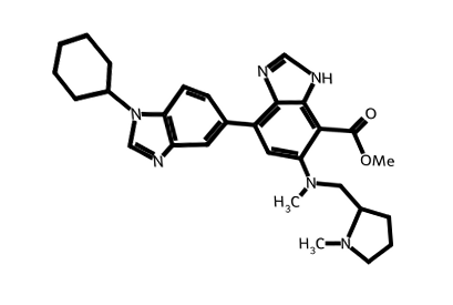 COC(=O)c1c(N(C)CC2CCCN2C)cc(-c2ccc3c(c2)ncn3C2CCCCC2)c2nc[nH]c12